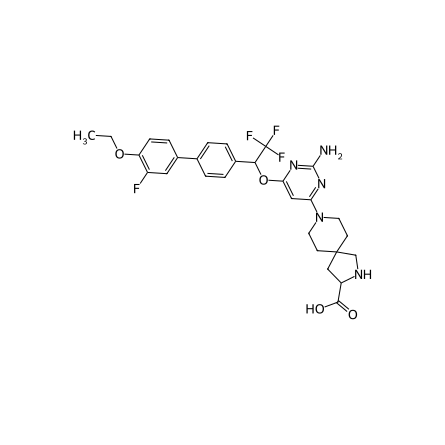 CCOc1ccc(-c2ccc(C(Oc3cc(N4CCC5(CC4)CNC(C(=O)O)C5)nc(N)n3)C(F)(F)F)cc2)cc1F